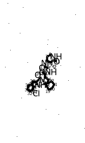 NC(=O)[C@H](C[C@@H]1CCCNC1=O)NC(=O)C1CC2(CCCCC2)CN1C(=O)c1cc2cccc(Cl)c2[nH]1